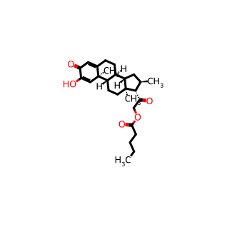 CCCCC(=O)OCC(=O)[C@H]1[C@H](C)C[C@H]2[C@@H]3CCC4=CC(=O)C(O)=C[C@]4(C)[C@H]3CC[C@@]21C